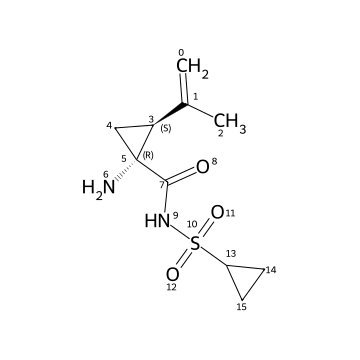 C=C(C)[C@@H]1C[C@]1(N)C(=O)NS(=O)(=O)C1CC1